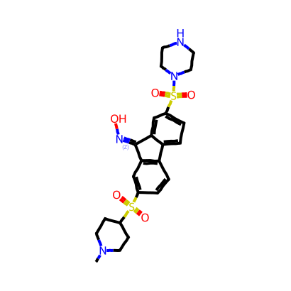 CN1CCC(S(=O)(=O)c2ccc3c(c2)/C(=N/O)c2cc(S(=O)(=O)N4CCNCC4)ccc2-3)CC1